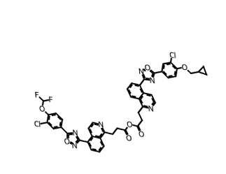 O=C(CCc1nccc2c(-c3noc(-c4ccc(OCC5CC5)c(Cl)c4)n3)cccc12)OC(=O)CCc1nccc2c(-c3noc(-c4ccc(OC(F)F)c(Cl)c4)n3)cccc12